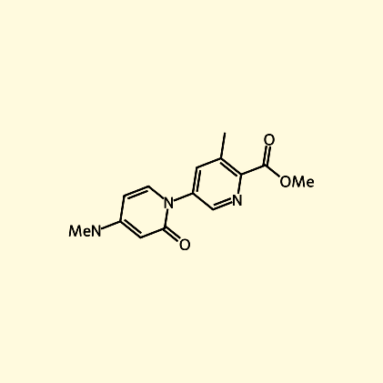 CNc1ccn(-c2cnc(C(=O)OC)c(C)c2)c(=O)c1